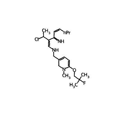 CCC/C=C\C(=N)/C(=C\NCC1=CC=C(OCC(C)(C)F)N(C)C1)C(C)Cl